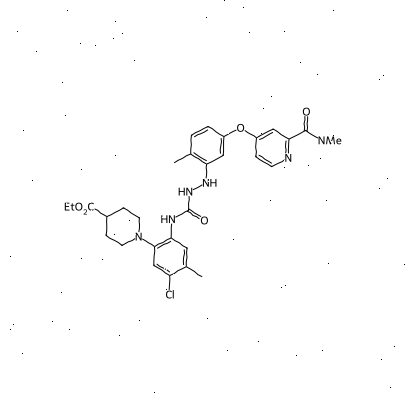 CCOC(=O)C1CCN(c2cc(Cl)c(C)cc2NC(=O)NNc2cc(Oc3ccnc(C(=O)NC)c3)ccc2C)CC1